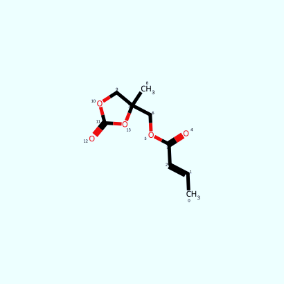 C/C=C/C(=O)OCC1(C)COC(=O)O1